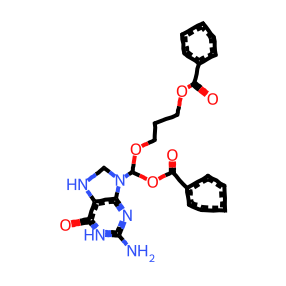 Nc1nc2c(c(=O)[nH]1)NCN2C(OCCCOC(=O)c1ccccc1)OC(=O)c1ccccc1